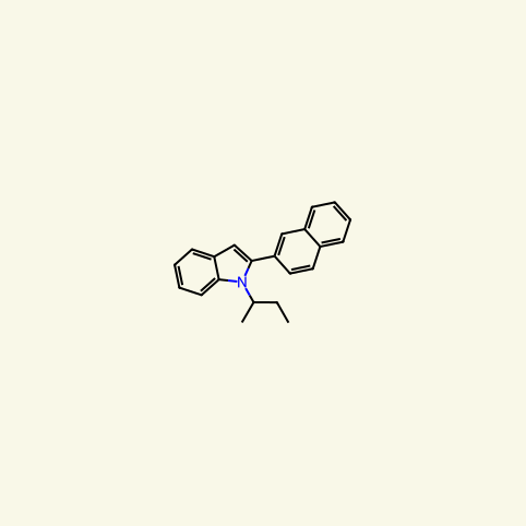 CCC(C)n1c(-c2ccc3ccccc3c2)cc2ccccc21